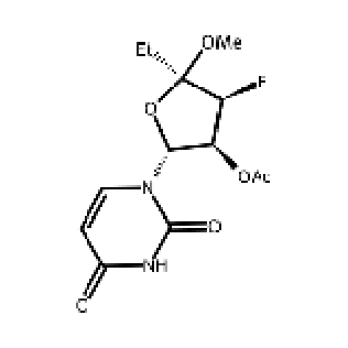 CC[C@@]1(OC)O[C@@H](n2ccc(=O)[nH]c2=O)[C@H](OC(C)=O)[C@@H]1F